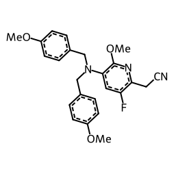 COc1ccc(CN(Cc2ccc(OC)cc2)c2cc(F)c(CC#N)nc2OC)cc1